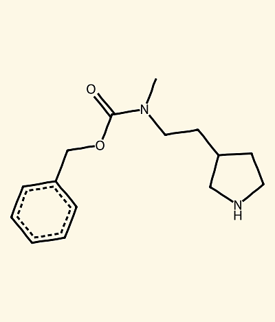 CN(CCC1CCNC1)C(=O)OCc1ccccc1